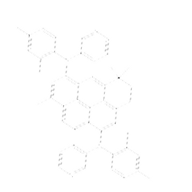 Cc1ccc(N(c2cccnc2)c2cc(C)c3ccc4c(N(c5cccnc5)c5ccc(C)cc5C)cc5c6c(cc2c3c46)C(C)(C)CC5)c(C)c1